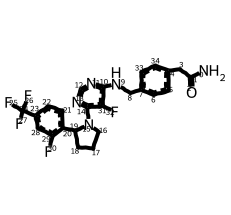 NC(=O)Cc1ccc(CNc2ncnc(N3CCCC3c3ccc(C(F)(F)F)cc3F)c2F)cc1